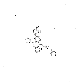 O=C(CN1C(=O)[C@@H](NC(=O)[C@@H]2CCC(=O)N2)[C@@H](c2ccccc2)Sc2ccccc21)NCCc1ccccc1